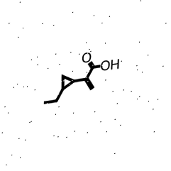 C=C(C(=O)O)C1CC1CC